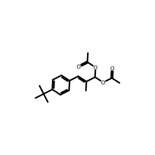 CC(=O)OC(OC(C)=O)/C(C)=C/c1ccc(C(C)(C)C)cc1